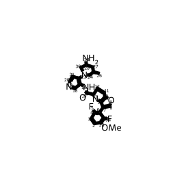 COc1ccc(F)c(-c2coc3ccc(C(=O)Nc4cnccc4N4CC(C)CC(N)C4)nc23)c1F